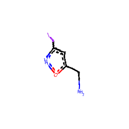 NCc1cc(I)no1